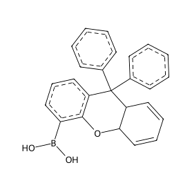 OB(O)c1cccc2c1OC1C=CC=CC1C2(c1ccccc1)c1ccccc1